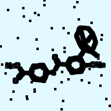 COC(=O)c1ccc(SC(=O)c2ccc(OC)c(C3C4CC5CC(C4)CC3(I)C5)c2)cc1